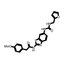 COc1ccc(CC(=O)Nc2nc3ccc(NC(=O)NCc4ccco4)cc3s2)cc1